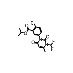 Cc1cc(=O)n(-c2ccc(Cl)c(C(=O)OC(C)C)c2)c(=O)n1C(F)F